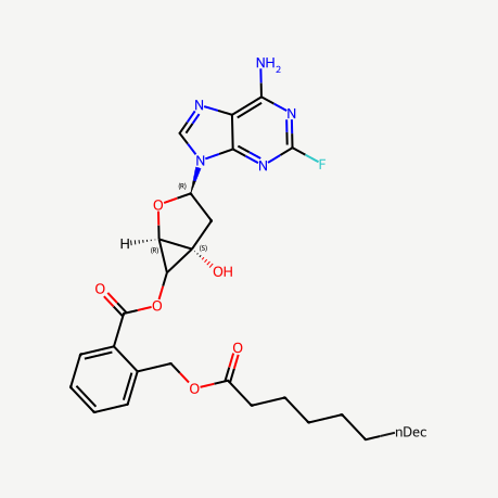 CCCCCCCCCCCCCCCC(=O)OCc1ccccc1C(=O)OC1[C@H]2O[C@@H](n3cnc4c(N)nc(F)nc43)C[C@@]12O